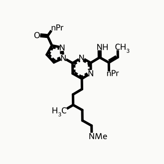 C/C=C(/CCC)C(=N)c1nc(CCC(C)CCCNC)cc(-n2ccc(C(=O)CCC)n2)n1